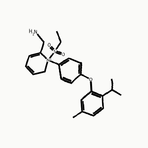 CCS(=O)(=O)[N+]1(c2ccc(Oc3cc(C)ccc3C(C)C)cc2)CC=CC=C1CN